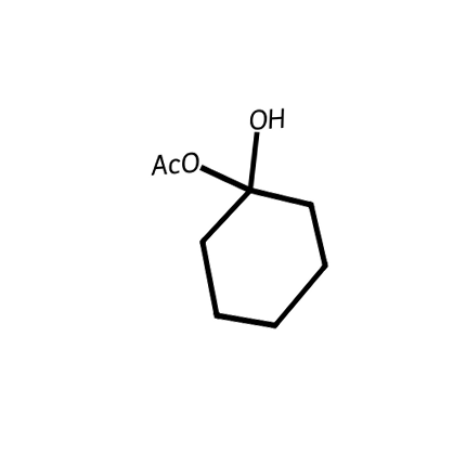 CC(=O)OC1(O)CCCCC1